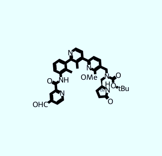 COc1nc(-c2ccnc(-c3cccc(NC(=O)c4cc(C=O)ccn4)c3C)c2C)ccc1CN(C[C@@H]1CCC(=O)N1)C(=O)OC(C)(C)C